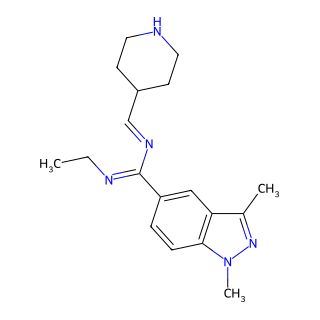 CC/N=C(\N=C\C1CCNCC1)c1ccc2c(c1)c(C)nn2C